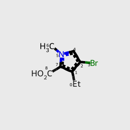 CCc1c(Br)cn(C)c1C(=O)O